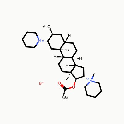 CC(=O)O[C@H]1C[C@@H]2CC[C@@H]3[C@H](CC[C@]4(C)[C@H](OC(=O)C(C)(C)C)[C@@H]([N+]5(C)CCCCC5)C[C@@H]34)[C@@]2(C)C[C@@H]1N1CCCCC1.[Br-]